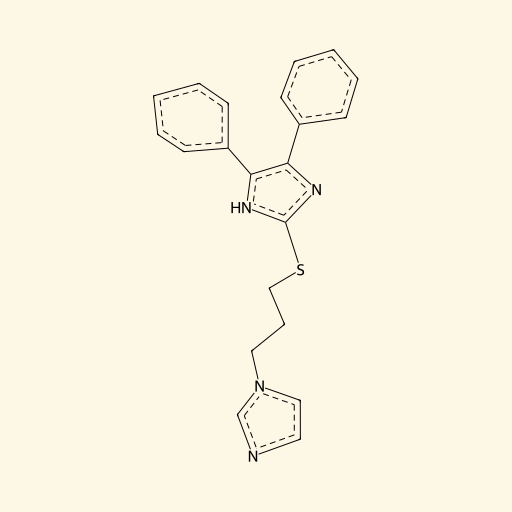 c1ccc(-c2nc(SCCCn3ccnc3)[nH]c2-c2ccccc2)cc1